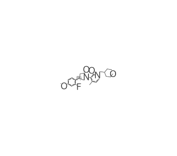 COc1ccc([C@H]2CC(=O)N(c3c(C)ccn(CC4CCOCC4)c3=O)C2)c(F)c1